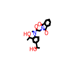 CC(O)c1ccc(N(C)C(=O)CN2C(=O)c3ccccc3C2=O)c(C(C)O)c1